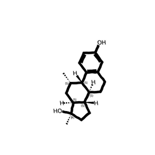 C[C@H]1C[C@H]2[C@@H](CC[C@@]2(C)O)[C@@H]2CCc3cc(O)ccc3[C@H]21